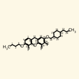 CCCCOc1ccc2c(c1F)Oc1c(cc(OCC3CCC(CCC)CC3)c(F)c1F)C2